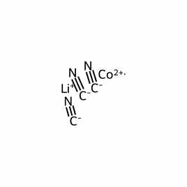 [C-]#N.[C-]#N.[C-]#N.[Co+2].[Li+]